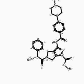 CCCCOC(=O)n1nc([AsH]C(=O)c2ccc(N3CCN(C)CC3)cc2)c2c1CN(C(=O)[C@H](OC)c1ccccc1)C2